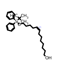 CC(C)(C)[Si](OCCCC/C=C\CCCCCCCO)(c1ccccc1)c1ccccc1